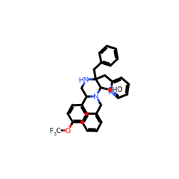 O=CC1N(Cc2ccccc2)C(c2ccc(OC(F)(F)F)cc2)CNC1(Cc1ccccc1)Cc1ccccn1